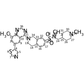 Cc1cc(-c2cncs2)cc2c(N3CCc4ccc(S(=O)(=O)N(C)CC5CCN(C)CC5)cc4C3)ncnc12